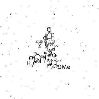 COc1ccc([C@@H]2CN(c3ccc(=O)n(C)n3)C[C@H]2C(=O)N2CCC[C@@H](C3C=CC(Cl)=CC3)N(C(=O)C3CC3)CC2)c(F)c1